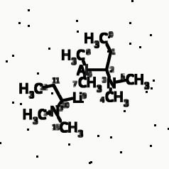 CC[CH](N(C)C)[Al]([CH3])[CH3].[Li][CH](CC)N(C)C